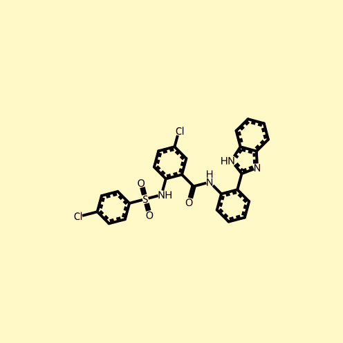 O=C(Nc1ccccc1-c1nc2ccccc2[nH]1)c1cc(Cl)ccc1NS(=O)(=O)c1ccc(Cl)cc1